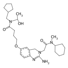 CC(O)N(CC1CCCC1)C(=O)CCCOc1ccc2c(c1)CN(CC(=O)N(C)C1CCCCC1)C(N)=N2